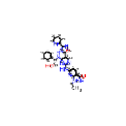 CCn1[nH]c(=O)c2ccc(Nc3ncc(-c4nc(-c5ccccn5)no4)c(N[C@H](CO)c4ccccc4)n3)nc21